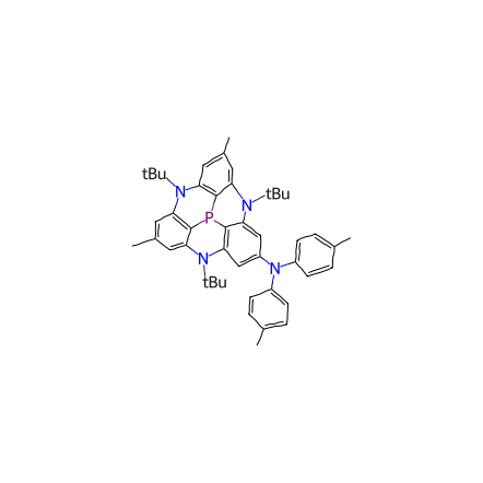 Cc1ccc(N(c2ccc(C)cc2)c2cc3c4c(c2)N(C(C)(C)C)c2cc(C)cc5c2P4c2c(cc(C)cc2N3C(C)(C)C)N5C(C)(C)C)cc1